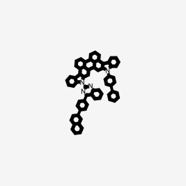 c1ccc(-c2ccc(-n3c4ccccc4c4c5cccc6c7cccc8c7c(cc7c8c8ccccc8n7-c7nc(-c8ccc(-c9ccc%10ccccc%10c9)cc8)c8ccccc8n7)c(cc43)c65)cc2)cc1